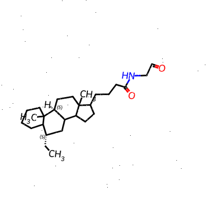 CC[C@H]1CC2C3CCC(CCCC(=O)NCC=O)C3(C)CC[C@@H]2C2(C)CCCCC12